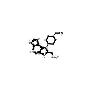 N#CC[C@H]1CC[C@@H](n2c(CC(=O)O)nc3cnc4[nH]ccc4c32)CC1